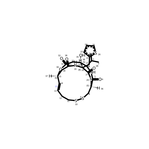 CC(C)[C@H]1NC(=O)[C@H]2CSSCC/C=C/[C@H](CC(=O)N[C@H](Cc3cccs3)C(=O)N2)OC(=O)C[C@@H]1O